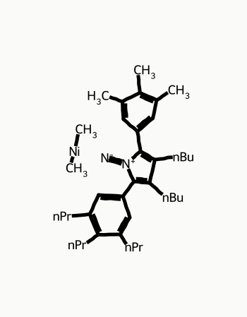 CCCCC1=C(c2cc(C)c(C)c(C)c2)[N+](=[N-])C(c2cc(CCC)c(CCC)c(CCC)c2)=C1CCCC.[CH3][Ni][CH3]